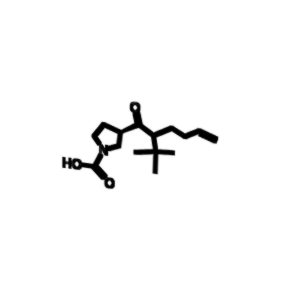 C=CCCC(C(=O)[C@@H]1CCN(C(=O)O)C1)C(C)(C)C